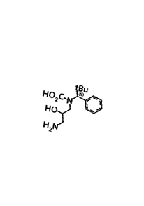 CC(C)(C)[C@@H](c1ccccc1)N(CC(O)CN)C(=O)O